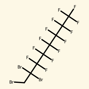 FC(F)(F)C(F)(F)C(F)(F)C(F)(F)C(F)(F)C(F)(F)C(Br)(Br)CBr